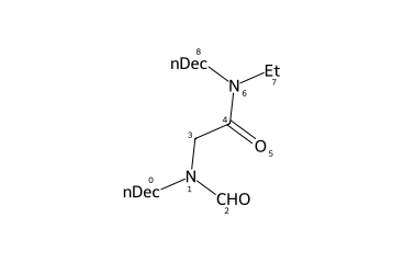 CCCCCCCCCCN(C=O)CC(=O)N(CC)CCCCCCCCCC